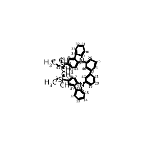 CC[Si](C)(C)c1ccc2c(c1)c1ccccc1n2-c1cccc(-c2cccc(-n3c4ccccc4c4cc([Si](C)(C)CC)ccc43)c2)c1